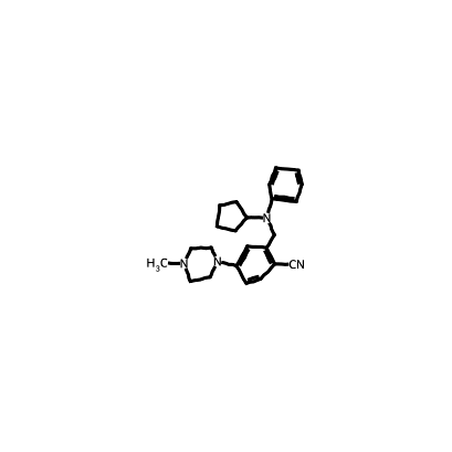 CN1CCN(c2ccc(C#N)c(CN(c3ccccc3)C3CCCC3)c2)CC1